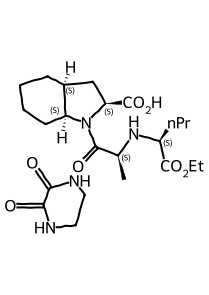 CCC[C@H](N[C@@H](C)C(=O)N1[C@H](C(=O)O)C[C@@H]2CCCC[C@@H]21)C(=O)OCC.O=C1NCCNC1=O